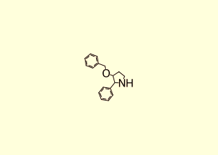 c1ccc(COC2CCNC2c2ccccc2)cc1